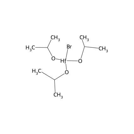 CC(C)[O][Hf]([Br])([O]C(C)C)[O]C(C)C